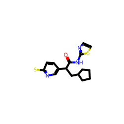 O=C(Nc1nccs1)C(CC1CCCC1)c1ccc([S])nc1